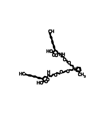 C#CC#CC#CC#CC(CC(=O)NCCOCCOCCOCCN(CCOCCOCCNC(=O)CC(C#CC#CC#CC#C)C(=O)O)c1cccc(C)c1)C(=O)O